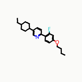 CCCCOc1ccc(-c2ccc(C3CCC(CC)CC3)cn2)c(F)c1